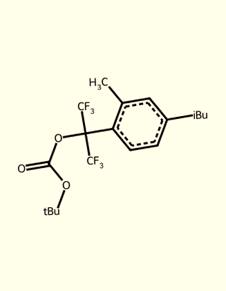 CCC(C)c1ccc(C(OC(=O)OC(C)(C)C)(C(F)(F)F)C(F)(F)F)c(C)c1